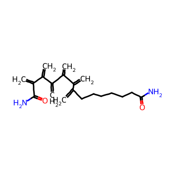 C=C(CCCCCCC(N)=O)C(=C)C(=C)C(=C)C(=C)C(=C)C(N)=O